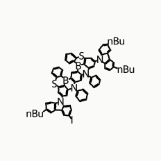 CCCCc1ccc2c(c1)c1cc(I)ccc1n2-c1cc2c3c(c1)N(c1ccccc1)c1cc4c(cc1B3c1ccccc1S2)B1c2ccccc2Sc2cc(-n3c5ccc(CCCC)cc5c5cc(CCCC)ccc53)cc(c21)N4c1ccccc1